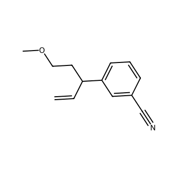 C=CC(CCOC)c1cccc(C#N)c1